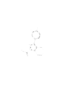 NC(=O)n1nc(-c2ccc(F)c(F)c2)c2c1CCOC2